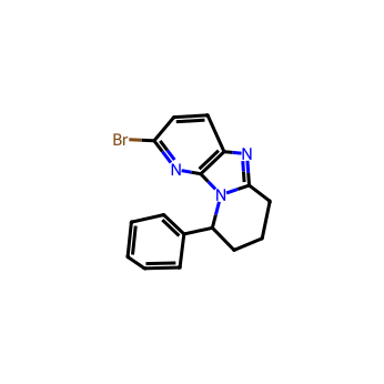 Brc1ccc2nc3n(c2n1)C(c1ccccc1)CCC3